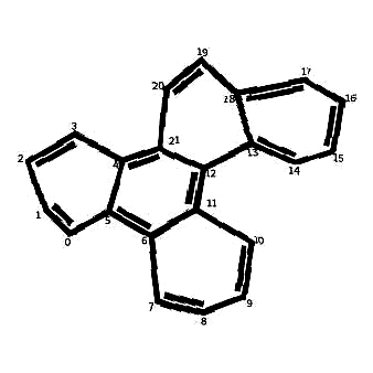 [c]1cccc2c1c1ccccc1c1c3ccccc3ccc21